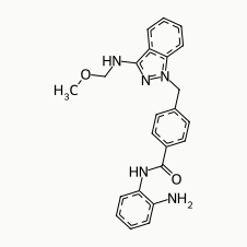 COCNc1nn(Cc2ccc(C(=O)Nc3ccccc3N)cc2)c2ccccc12